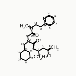 C=C(Cl)CC(CC(=O)N(CC(=O)N(C)CCc1ccccn1)CC1CCCCC1)C(=O)O